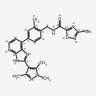 Cc1nn(C)c(C)c1-c1nc2c(-c3ccc(CNC(=O)c4nc(C(C)(C)C)no4)c(C(F)(F)F)c3)ccnc2[nH]1